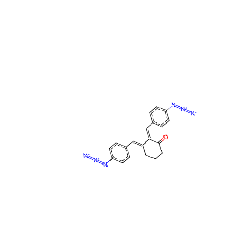 [N-]=[N+]=Nc1ccc(C=C2CCCC(=O)C2=Cc2ccc(N=[N+]=[N-])cc2)cc1